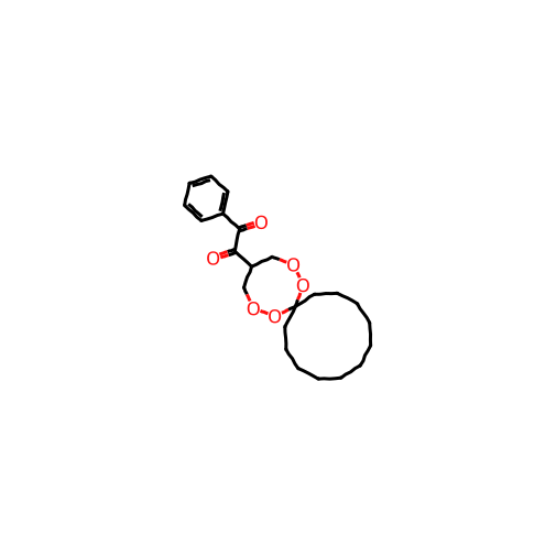 O=C(C(=O)C1COOC2(CCCCCCCCCCC2)OOC1)c1ccccc1